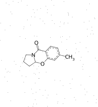 Cc1ccc2c(c1)OC1CCCN1C2=O